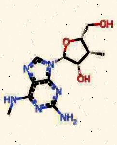 CNc1nc(N)nc2c1ncn2[C@@H]1O[C@H](CO)[C@H](C)[C@@H]1O